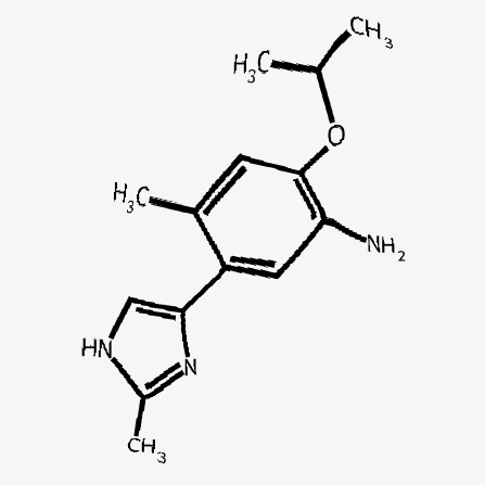 Cc1nc(-c2cc(N)c(OC(C)C)cc2C)c[nH]1